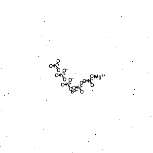 O=[N+]([O-])[O-].O=[N+]([O-])[O-].O=[N+]([O-])[O-].O=[N+]([O-])[O-].O=[N+]([O-])[O-].[B+3].[Mg+2]